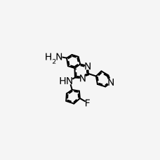 Nc1ccc2nc(-c3ccncc3)nc(Nc3cccc(F)c3)c2c1